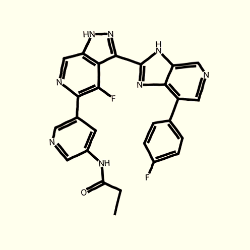 CCC(=O)Nc1cncc(-c2ncc3[nH]nc(-c4nc5c(-c6ccc(F)cc6)cncc5[nH]4)c3c2F)c1